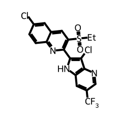 CCS(=O)(=O)c1cc2cc(Cl)ccc2nc1-c1[nH]c2cc(C(F)(F)F)cnc2c1Cl